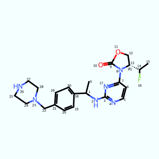 CC(Nc1nccc(N2C(=O)OC[C@@H]2C(C)F)n1)c1ccc(CN2CCNCC2)cc1